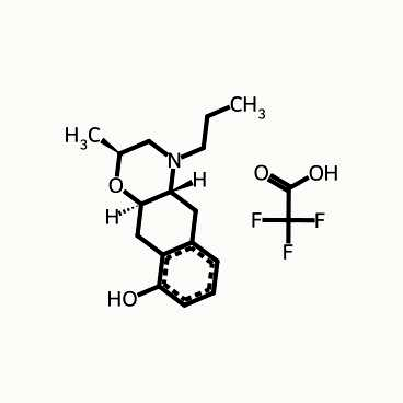 CCCN1C[C@H](C)O[C@@H]2Cc3c(O)cccc3C[C@H]21.O=C(O)C(F)(F)F